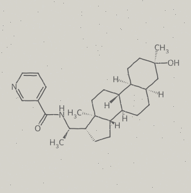 C[C@@H](NC(=O)c1cccnc1)[C@H]1CC[C@H]2[C@@H]3CC[C@@H]4C[C@](C)(O)CC[C@@H]4[C@H]3CC[C@]12C